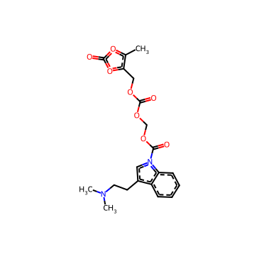 Cc1oc(=O)oc1COC(=O)OCOC(=O)n1cc(CCN(C)C)c2ccccc21